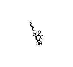 CCCCCOOC(=CC(=O)O)C(=O)OC